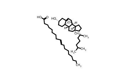 CC(C)CCCC(C)[C@H]1CC[C@H]2[C@@H]3CC=C4C[C@@H](O)CC[C@]4(C)[C@H]3CC[C@]12C.CCCCCCCC/C=C/CCCCCCCC(=O)O